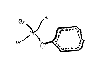 [Br][Hf]([Br])([Br])[O]c1ccccc1